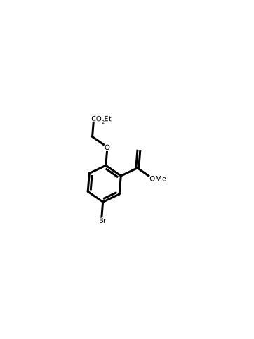 C=C(OC)c1cc(Br)ccc1OCC(=O)OCC